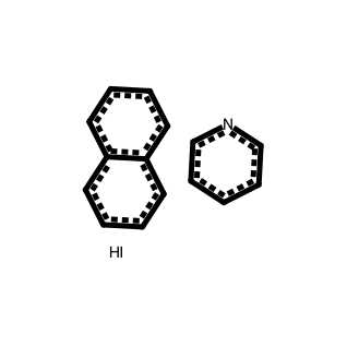 I.c1ccc2ccccc2c1.c1ccncc1